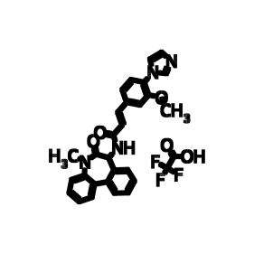 COc1cc(C=CC(=O)NC2C(=O)N(C)c3ccccc3-c3ccccc32)ccc1-n1ccnc1.O=C(O)C(F)(F)F